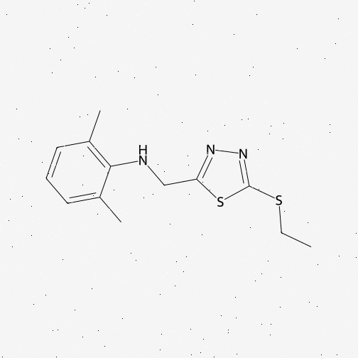 CCSc1nnc(CNc2c(C)cccc2C)s1